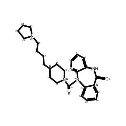 O=C1Nc2cccnc2N(C(=O)N2CCC(CCCCN3CCCC3)CC2)c2ccccc21